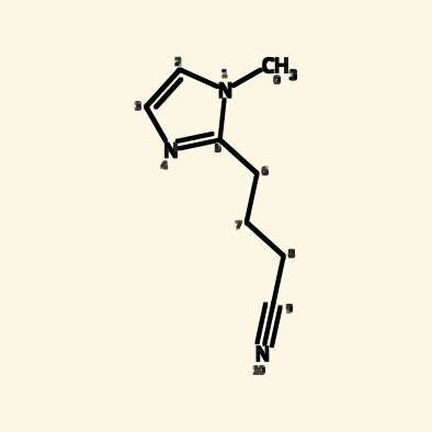 Cn1ccnc1CCCC#N